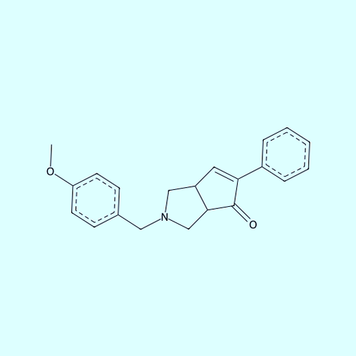 COc1ccc(CN2CC3C=C(c4ccccc4)C(=O)C3C2)cc1